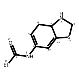 CCC(=O)NC1=CCC2NCSC2=C1